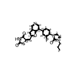 CCCn1ncn(-c2ccc(-c3cncc4cc(C=C5SC(=O)NC5=O)oc34)cc2F)c1=O